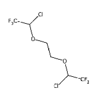 FC(F)(F)C(Cl)OCCOC(Cl)C(F)(F)F